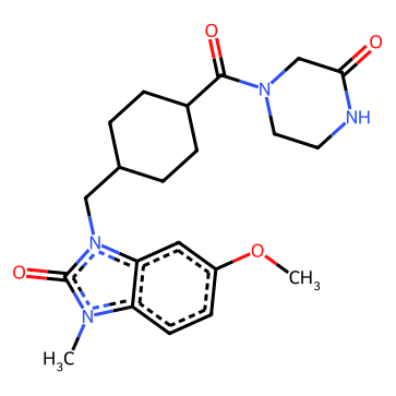 COc1ccc2c(c1)n(CC1CCC(C(=O)N3CCNC(=O)C3)CC1)c(=O)n2C